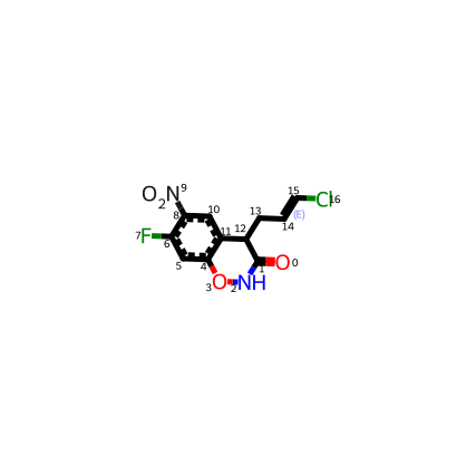 O=C1NOc2cc(F)c([N+](=O)[O-])cc2C1C/C=C/Cl